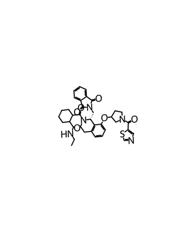 CCNC(=O)C1CCCCC1C(=O)N1CCc2cccc(OC3CCN(C(=O)c4cncs4)C3)c2[C@H]1CN1C(=O)c2ccccc2C1=O